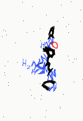 Cc1c(NC(=O)n2cc3ccccc3c2)cccc1-c1nc(N)nc2[nH]c(-c3cnn(C4CCCN(C)C4)c3)cc12